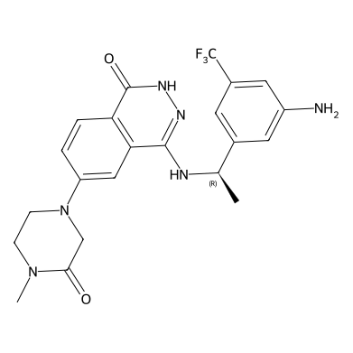 C[C@@H](Nc1n[nH]c(=O)c2ccc(N3CCN(C)C(=O)C3)cc12)c1cc(N)cc(C(F)(F)F)c1